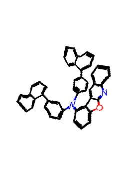 c1cc(-c2cccc3ccccc23)cc(N(c2ccc(-c3cccc4ccccc34)cc2)c2cccc3oc4nc5ccccc5cc4c23)c1